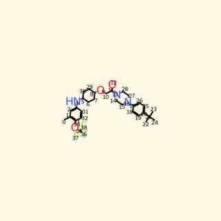 Cc1cc(NC2CCC(OCC(=O)N3CCN(c4ccc(C(C)(C)C)cc4)CC3)CC2)ccc1OC(F)(F)F